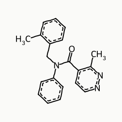 Cc1ccccc1CN(C(=O)c1ccnnc1C)c1ccccc1